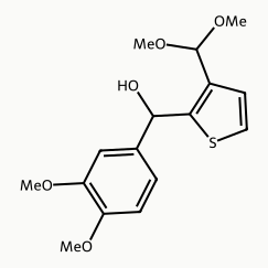 COc1ccc(C(O)c2sccc2C(OC)OC)cc1OC